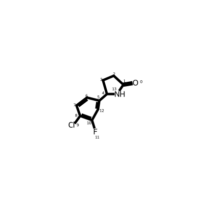 O=C1CCC(c2ccc(Cl)c(F)c2)N1